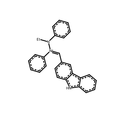 CCN(c1ccccc1)[N+](=Cc1ccc2[nH]c3ccccc3c2c1)c1ccccc1